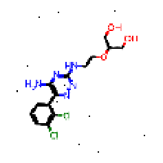 Nc1nc(NCCOC(CO)CO)nnc1-c1cccc(Cl)c1Cl